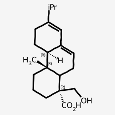 CC(C)C1=CC2=CCC3[C@](CO)(C(=O)O)CCC[C@]3(C)[C@H]2CC1